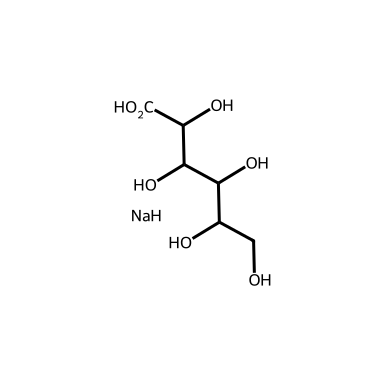 O=C(O)C(O)C(O)C(O)C(O)CO.[NaH]